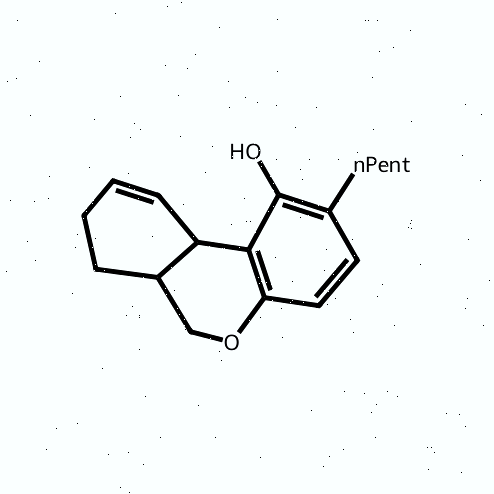 CCCCCc1ccc2c(c1O)C1C=CCCC1CO2